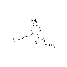 CCCCC1CC(N)CCC1C(=O)OCC